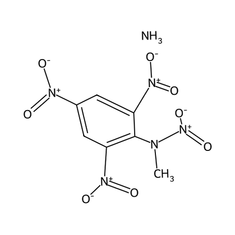 CN(c1c([N+](=O)[O-])cc([N+](=O)[O-])cc1[N+](=O)[O-])[N+](=O)[O-].N